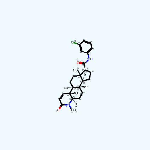 CN1C(=O)C=C[C@]2(C)[C@H]3CC[C@]4(C)[C@@H](C(=O)Nc5cccc(Cl)c5)CC[C@H]4[C@@H]3CC[C@@H]12